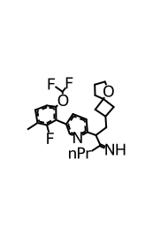 CCCC(=N)C(CC1CC2(CCCO2)C1)c1ccc(-c2c(OC(F)F)ccc(C)c2F)cn1